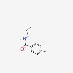 CCCN(C)C(=O)c1ccc(C)cc1